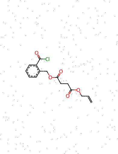 C=CCOC(=O)CCC(=O)OCc1ccccc1C(=O)Cl